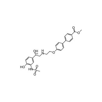 COC(=O)c1ccc(-c2ccc(OCCNC[C@H](O)c3ccc(O)c(NS(C)(=O)=O)c3)cc2)cc1